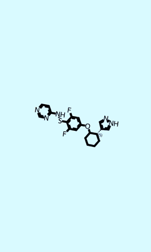 Fc1cc(OC2CCCC[C@H]2c2cn[nH]c2)cc(F)c1SNc1ccncn1